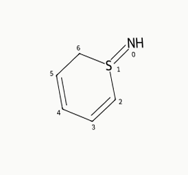 N=S1C=CC=CC1